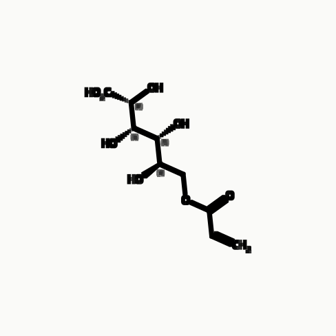 C=CC(=O)OC[C@@H](O)[C@@H](O)[C@H](O)[C@@H](O)C(=O)O